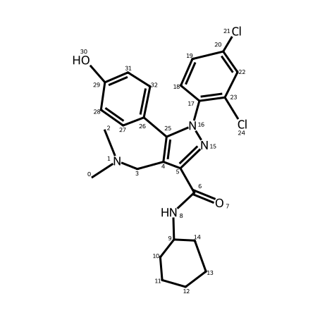 CN(C)Cc1c(C(=O)NC2CCCCC2)nn(-c2ccc(Cl)cc2Cl)c1-c1ccc(O)cc1